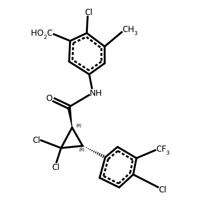 Cc1cc(NC(=O)[C@H]2[C@H](c3ccc(Cl)c(C(F)(F)F)c3)C2(Cl)Cl)cc(C(=O)O)c1Cl